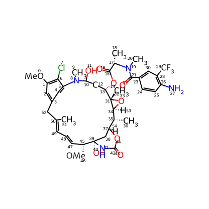 COc1cc2cc(c1Cl)N(C)C(O)C[C@H](OC(=O)[C@H](C)N(C)C(=O)c1ccc(N)c(C(F)(F)F)c1)[C@]1(C)O[C@H]1[C@H](C)[C@@H]1C[C@@](O)(NC(=O)O1)[C@H](OC)/C=C/C=C(\C)C2